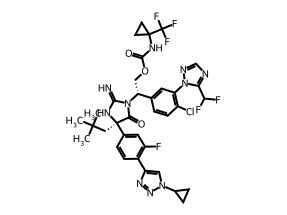 CC(C)(C)C[C@]1(c2ccc(-c3cn(C4CC4)nn3)c(F)c2)NC(=N)N([C@H](COC(=O)NC2(C(F)(F)F)CC2)c2ccc(Cl)c(-n3ncnc3C(F)F)c2)C1=O